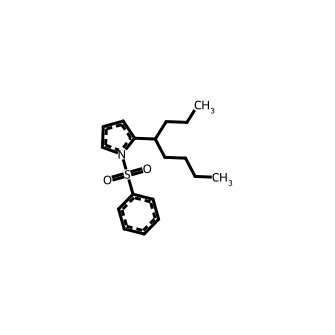 CCCCC(CCC)c1cccn1S(=O)(=O)c1ccccc1